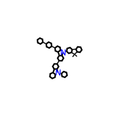 CC1(C)c2ccccc2-c2ccc(-n3c4ccc(-c5ccc(-c6ccccc6)cc5)cc4c4cc(-c5ccc6c7ccccc7n(-c7ccccc7)c6c5)ccc43)cc21